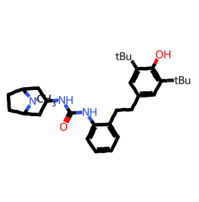 CN1C2CCC1CC(NC(=O)Nc1ccccc1CCc1cc(C(C)(C)C)c(O)c(C(C)(C)C)c1)C2